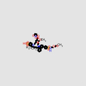 COCCOCCNS(=O)(=O)c1ccc(-c2ccc3c(c2)C2(CCCCC2)C(C=CC=C2N(CCCCCC(=O)ON4C(=O)CCC4=O)c4ccc(S(=O)(=O)O)cc4C2(C)C)=[N+]3CCOCCOC)cc1